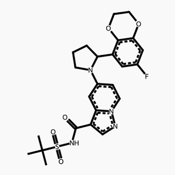 CC(C)(C)S(=O)(=O)NC(=O)c1cnn2ccc(N3CCCC3c3cc(F)cc4c3OCCO4)cc12